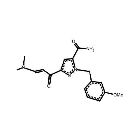 COc1cccc(Cn2nc(C(=O)C=CN(C)C)cc2C(N)=O)c1